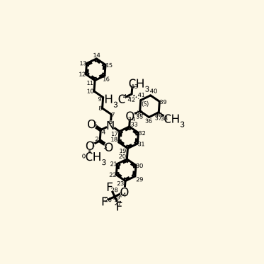 COC(=O)C(=O)N(CCCCc1ccccc1)c1cc(-c2ccc(OC(F)(F)F)cc2)ccc1O[C@@H]1C[C@H](C)CC[C@H]1C(C)C